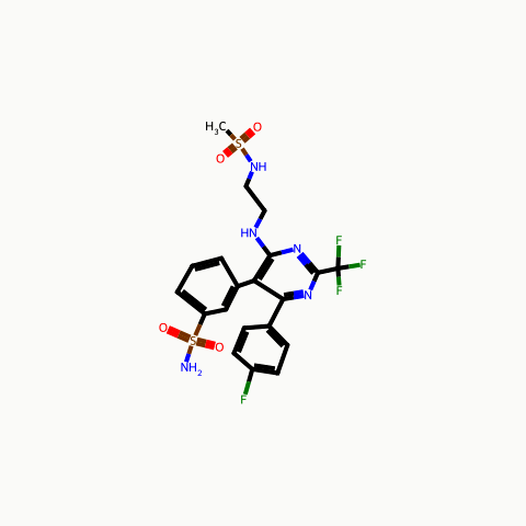 CS(=O)(=O)NCCNc1nc(C(F)(F)F)nc(-c2ccc(F)cc2)c1-c1cccc(S(N)(=O)=O)c1